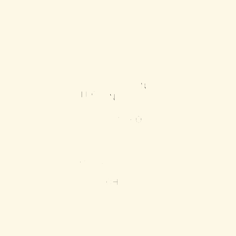 CN(C(=O)CCC(=O)O)c1ccccn1